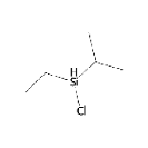 CC[SiH](Cl)C(C)C